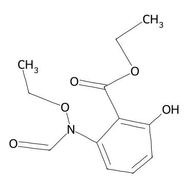 CCOC(=O)c1c(O)cccc1N(C=O)OCC